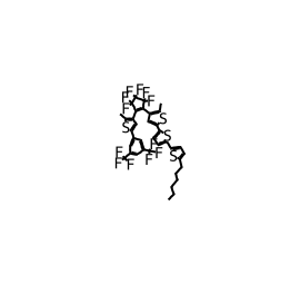 CCCCCCc1ccc(-c2ccc(-c3cc(C4=C(c5cc(-c6cc(C(F)(F)F)cc(C(F)(F)F)c6)sc5C)C(F)(F)C(F)(F)C4(F)F)c(C)s3)s2)s1